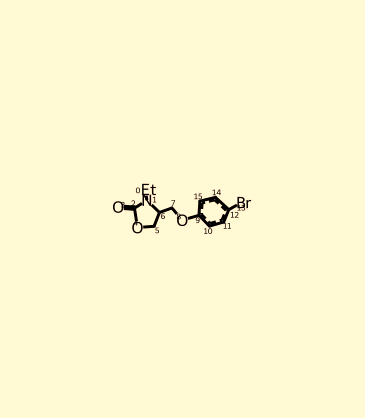 CCN1C(=O)OCC1COc1ccc(Br)cc1